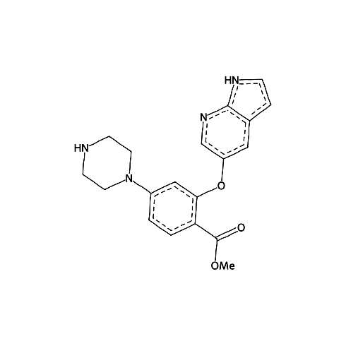 COC(=O)c1ccc(N2CCNCC2)cc1Oc1cnc2[nH]ccc2c1